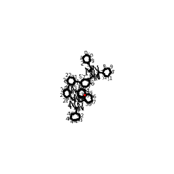 c1ccc(-c2nc(-c3ccccc3)nc(-c3cccc(-c4cccc5c6cccc(-c7nc(-c8ccccc8)nc(-c8ccccc8)n7)c6n(-c6ccccc6)c45)c3)n2)cc1